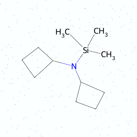 C[Si](C)(C)N(C1CCC1)C1CCC1